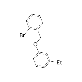 CCc1cccc(OCc2ccccc2Br)c1